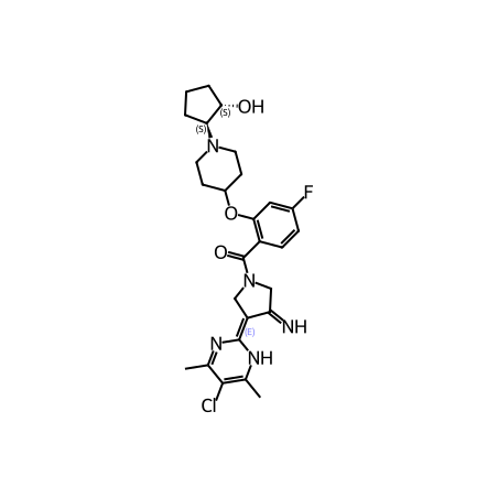 CC1=N/C(=C2\CN(C(=O)c3ccc(F)cc3OC3CCN([C@H]4CCC[C@@H]4O)CC3)CC2=N)NC(C)=C1Cl